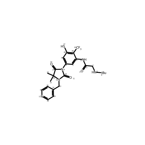 CC(C)(C)NCC(=O)Nc1cc(N2C(=O)N(Cc3ccncc3)C(C)(C)C2=O)cc(S)c1C(F)(F)F